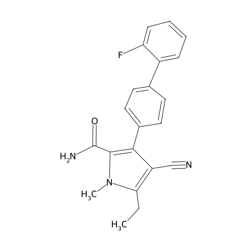 CCc1c(C#N)c(-c2ccc(-c3ccccc3F)cc2)c(C(N)=O)n1C